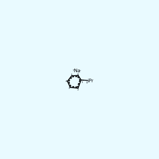 CC(C)c1ccccc1.[Na]